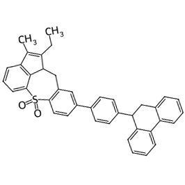 CCC1=C(C)c2cccc3c2C1Cc1cc(-c2ccc(C4Cc5ccccc5-c5ccccc54)cc2)ccc1S3(=O)=O